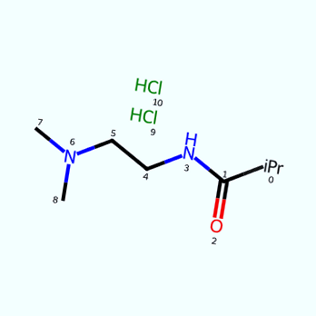 CC(C)C(=O)NCCN(C)C.Cl.Cl